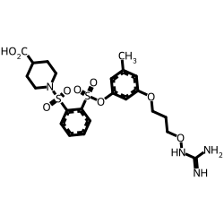 Cc1cc(OCCCONC(=N)N)cc(OS(=O)(=O)c2ccccc2S(=O)(=O)N2CCC(C(=O)O)CC2)c1